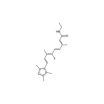 CCNC(=O)C=C(C)C=CC(F)=C(C)C=Cc1c(C)sc(C)c1C